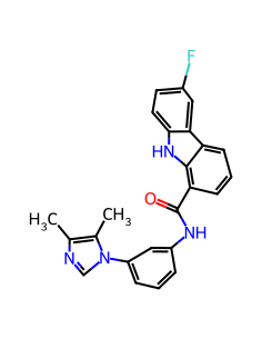 Cc1ncn(-c2cccc(NC(=O)c3cccc4c3[nH]c3ccc(F)cc34)c2)c1C